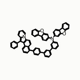 c1ccc(-c2c3c4cccc(-c5ccc(-c6cccc(-c7cccc(N(c8ccc9c(c8)oc8ccccc89)c8ccc9c(c8)oc8ccccc89)c7)c6)cc5)c4ccc3n3ccccc23)cc1